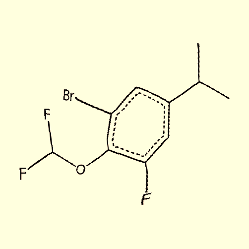 CC(C)c1cc(F)c(OC(F)F)c(Br)c1